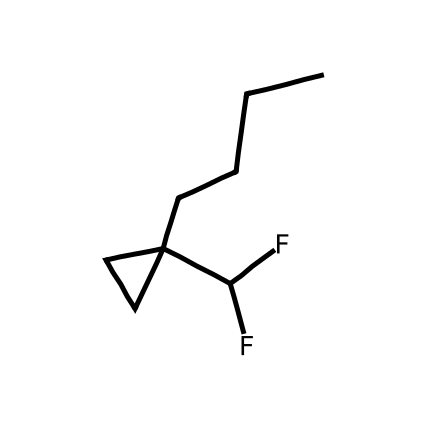 CCCCC1(C(F)F)CC1